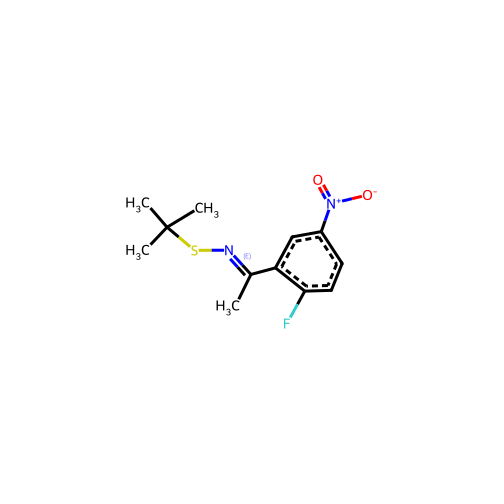 C/C(=N\SC(C)(C)C)c1cc([N+](=O)[O-])ccc1F